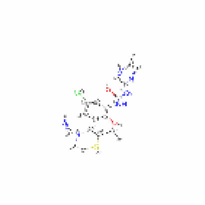 Cc1cnc(NC(=O)Nc2cc(Cl)ccc2OC(C)C2CN(C#N)CCS2)cn1